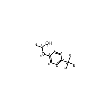 CC(O)Oc1ccc(C(C)(C)C)cc1